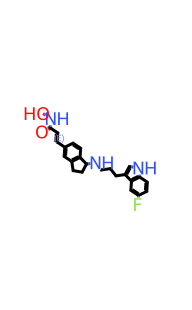 O=C(/C=C/c1ccc2c(c1)CCC2NCCCc1c[nH]c2ccc(F)cc12)NO